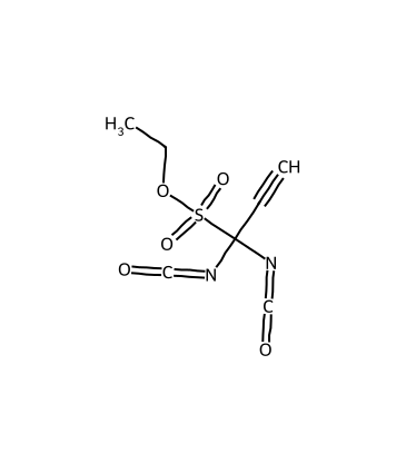 C#CC(N=C=O)(N=C=O)S(=O)(=O)OCC